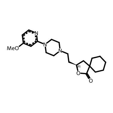 COc1ccnc(N2CCN(CC[C@H]3CC4(CCCCC4)C(=O)O3)CC2)c1